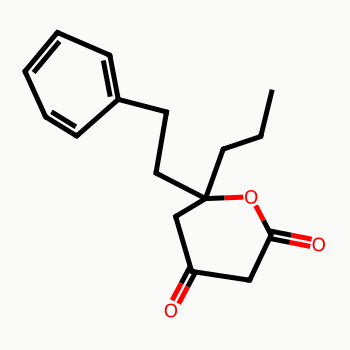 CCCC1(CCc2ccccc2)CC(=O)CC(=O)O1